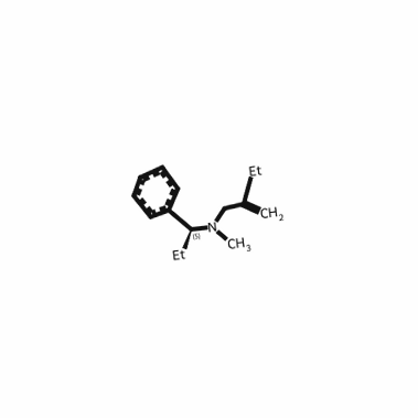 C=C(CC)CN(C)[C@@H](CC)c1ccccc1